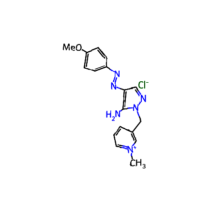 COc1ccc(N=Nc2cnn(Cc3ccc[n+](C)c3)c2N)cc1.[Cl-]